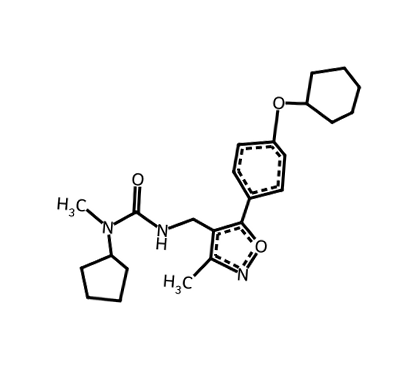 Cc1noc(-c2ccc(OC3CCCCC3)cc2)c1CNC(=O)N(C)C1CCCC1